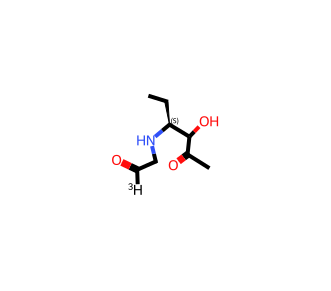 [3H]C(=O)CN[C@@H](CC)C(O)C(C)=O